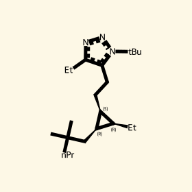 CCCC(C)(C)C[C@@H]1[C@H](CC)[C@@H]1CCc1c(CC)nnn1C(C)(C)C